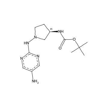 CC(C)(C)OC(=O)N[C@@H]1CCN(Nc2ncc(N)cn2)C1